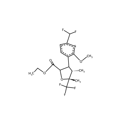 CCOC(=O)C1O[C@@](C)(C(F)(F)F)[C@@H](C)C1c1ccc(C(F)F)nc1OC